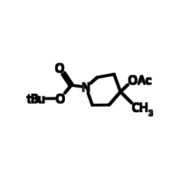 CC(=O)OC1(C)CCN(C(=O)OC(C)(C)C)CC1